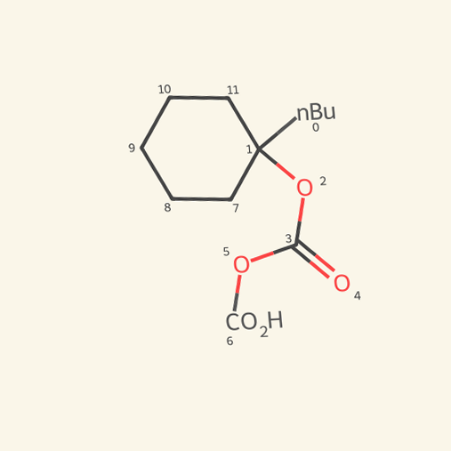 CCCCC1(OC(=O)OC(=O)O)CCCCC1